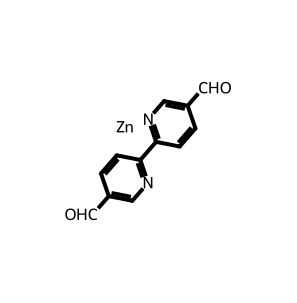 O=Cc1ccc(-c2ccc(C=O)cn2)nc1.[Zn]